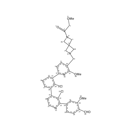 COCC(=O)N1CC2(CN(Cc3ccc(-c4cccc(-c5ccnc(-c6ccc(C=O)c(OC)c6)c5Cl)c4Cl)nc3OC)C2)C1